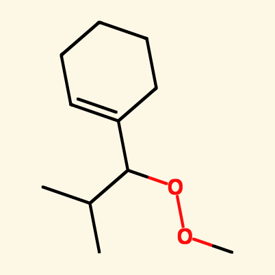 COOC(C1=CCCCC1)C(C)C